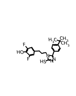 CC(C)(C)c1ccc(-c2nnc(S)n2CCCc2cc(F)c(O)c(F)c2)cc1